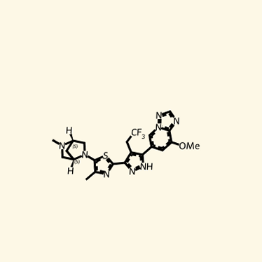 COc1cc(-c2[nH]nc(-c3nc(C)c(N4C[C@@H]5C[C@H]4CN5C)s3)c2CC(F)(F)F)cn2ncnc12